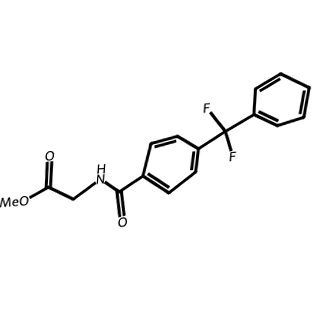 COC(=O)CNC(=O)c1ccc(C(F)(F)c2ccccc2)cc1